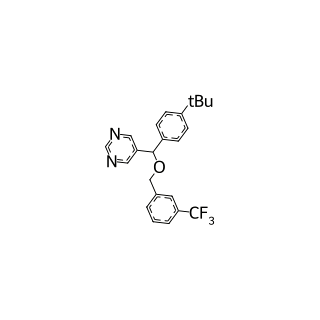 CC(C)(C)c1ccc(C(OCc2cccc(C(F)(F)F)c2)c2cncnc2)cc1